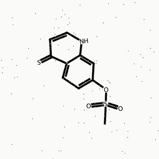 CS(=O)(=O)Oc1ccc2c(=S)cc[nH]c2c1